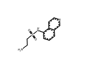 NCCS(=O)(=O)Nc1cccc2cnccc12